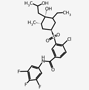 CCC1C[C@@H](S(=O)(=O)c2cc(C(=O)Nc3cc(F)c(F)c(F)c3)ccc2Cl)C[C@H](C)[C@@]1(O)CC(C)O